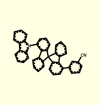 N#Cc1cccc(-c2cccc3c2-c2ccccc2C32c3ccccc3-c3c(-n4c5ccccc5c5ccccc54)cccc32)c1